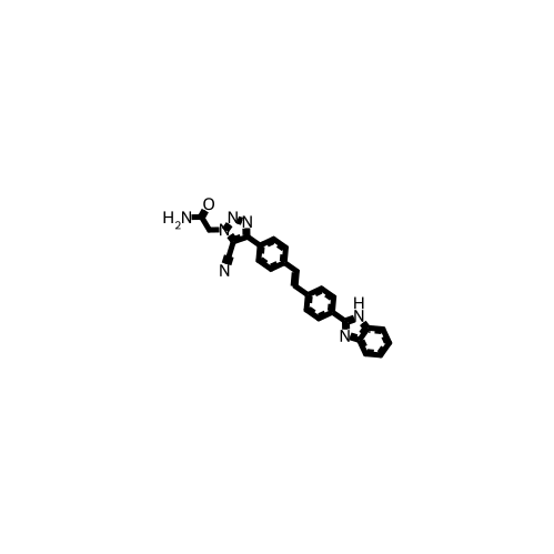 N#Cc1c(-c2ccc(C=Cc3ccc(-c4nc5ccccc5[nH]4)cc3)cc2)nnn1CC(N)=O